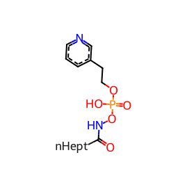 CCCCCCCC(=O)NOP(=O)(O)OCCc1cccnc1